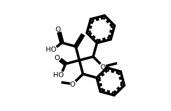 C=C(C(=O)O)C(C(=O)O)(C(OC)c1ccccc1)C(OC)c1ccccc1